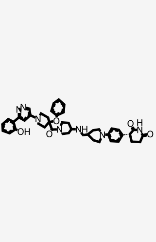 O=C1CC[C@H](c2ccc(N3CCC(CNC4CCN(C(=O)C5(Oc6ccccc6)CCN(c6cnnc(-c7ccccc7O)c6)CC5)CC4)CC3)cc2)C(=O)N1